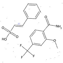 COc1cc(C(F)(F)F)ccc1C(N)=O.O=S(=O)(O)/C=C/c1ccccc1